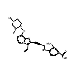 C=Cc1c(C#CCNc2ccc(C(=O)NC)cc2OC)nc2c(N[C@@H]3CCN(CC)C[C@@H]3F)cccn12